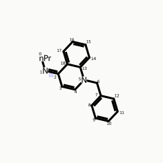 CCC/N=c1/ccn(Cc2ccccc2)c2ccccc12